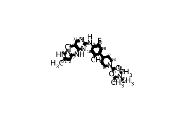 Cc1cc(Nc2nc(Nc3cc(C)c(C4CCN(C(=O)OC(C)N(C)C)CC4)cc3F)ncc2Cl)n[nH]1